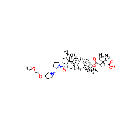 COCCO[C@H]1CCN(C[C@@H]2CCCN2C(=O)[C@]23CC[C@@H](C4(C)CC4)[C@@H]2C2CC[C@@H]4[C@@]5(C)CC[C@H](OC(=O)C6C[C@@H](C(=O)O)C6(C)C)C(C)(C)[C@@H]5CC[C@@]4(C)[C@]2(C)CC3)C1